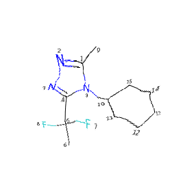 Cc1nnc(C(C)(F)F)n1C1CCCCC1